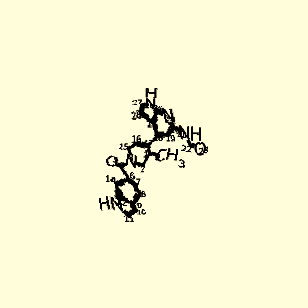 CC1CN(C(=O)c2ccc3cc[nH]c3c2)CC=C1c1cc(NC=O)nc2[nH]ccc12